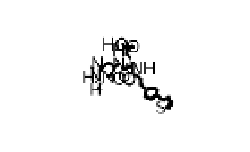 NC(=O)C(Cc1c[nH]cn1)NC(=O)[C@H](CCC(=O)O)NC(=O)CCc1ccc(-c2cccs2)cc1